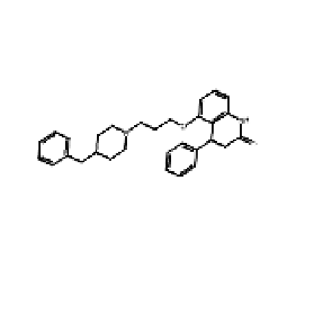 O=C1CC(c2ccccc2)c2c(cccc2OCCCN2CCC(Cc3ccccc3)CC2)N1